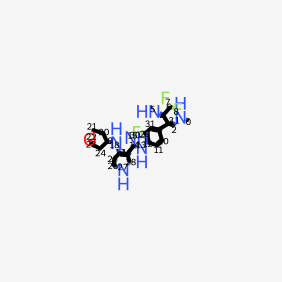 CN/C=C(\C(=N)C(F)F)c1ccc(NC(=N)C2=C(NC3CCOCC3)CCNC2)c(F)c1